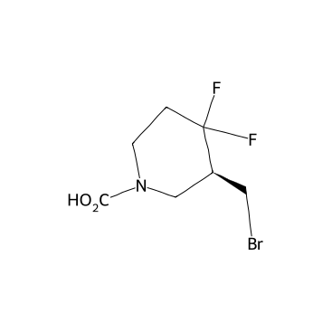 O=C(O)N1CCC(F)(F)[C@@H](CBr)C1